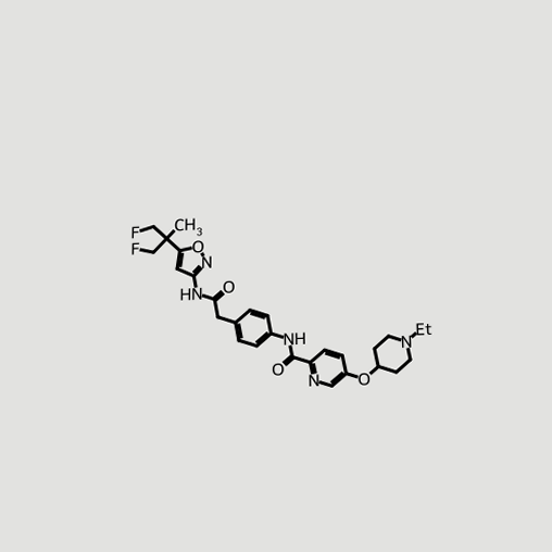 CCN1CCC(Oc2ccc(C(=O)Nc3ccc(CC(=O)Nc4cc(C(C)(CF)CF)on4)cc3)nc2)CC1